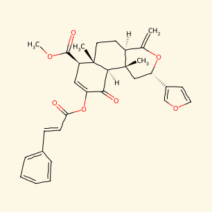 C=C1O[C@H](c2ccoc2)C[C@]2(C)[C@H]3C(=O)C(OC(=O)/C=C/c4ccccc4)=C[C@@H](C(=O)OC)[C@]3(C)CC[C@@H]12